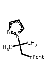 CCCCCCC(C)(C)n1cccn1